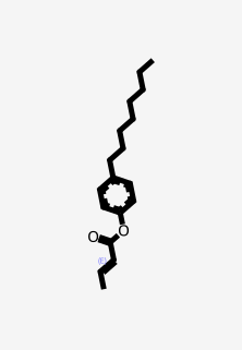 C/C=C/C(=O)Oc1ccc(CCCCCCCC)cc1